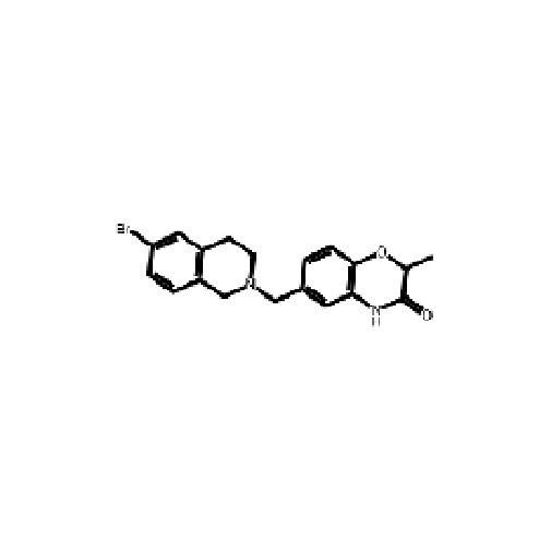 CC1Oc2ccc(CN3CCc4cc(Br)ccc4C3)cc2NC1=O